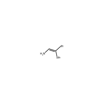 CCC/C(=C\N)C(C)C